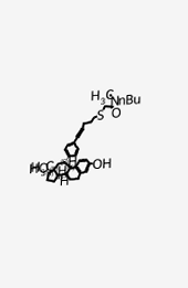 CCCCN(C)C(=O)CSCCCC#Cc1ccc([C@H]2C[C@]3(C)[C@@H](O)CC[C@H]3[C@@H]3CCc4cc(O)ccc4[C@H]32)cc1